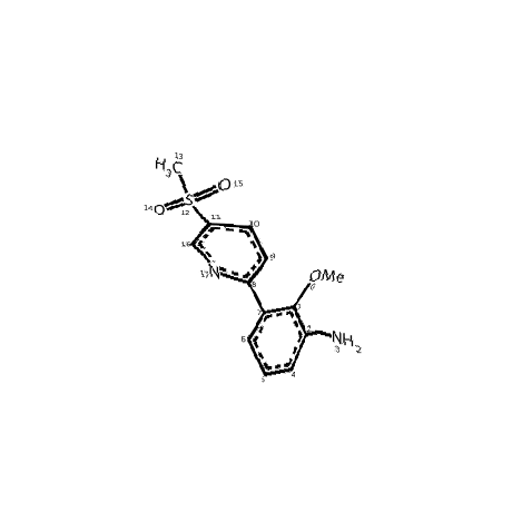 COc1c(N)cccc1-c1ccc(S(C)(=O)=O)cn1